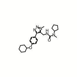 CN(C(=O)NCc1c(-c2ccc(OC3CCCCC3)cc2)nnn1C)C1CCCC1